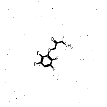 C[C@H](N)C(=O)COc1c(F)c(F)cc(F)c1F